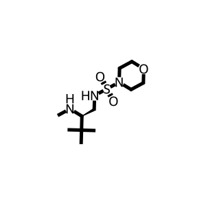 CN[C@@H](CNS(=O)(=O)N1CCOCC1)C(C)(C)C